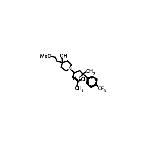 COCCC1(O)CCN(C(C=C(C)C)CC(C)(C)c2ccc(C(F)(F)F)cc2)CC1